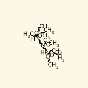 CCCOC(CC)(OCCC)PCCN(CCPC(CC)(OCCC)OCCC)C(C)OC